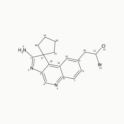 NC1=Nc2cnc3ccc(CC(Cl)Br)cc3c2C12CCCC2